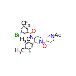 CC(=O)N1CCC(C(=O)N2CC[C@@H](N(C)C(=O)c3cc(Br)cc(C(F)(F)F)c3)[C@H](c3ccc(C)c(F)c3)C2)CC1